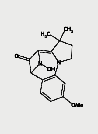 COc1ccc2c(c1)N1CCC(C)(C)C1=C1C(=O)C2N1O